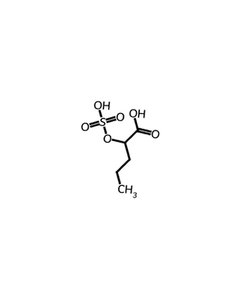 CCCC(OS(=O)(=O)O)C(=O)O